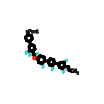 C/C=C/c1c(F)cc(-c2ccc(-c3ccc(OC(F)(F)c4ccc(C5CCC(CCCCC)CC5)cc4F)cc3F)cc2F)cc1F